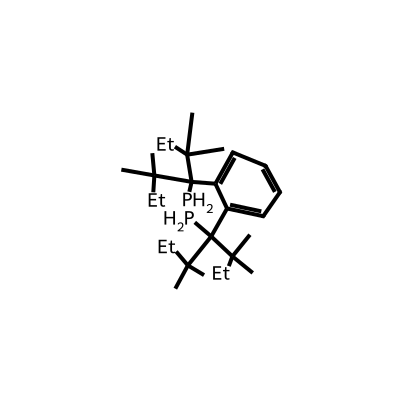 CCC(C)(C)C(P)(c1ccccc1C(P)(C(C)(C)CC)C(C)(C)CC)C(C)(C)CC